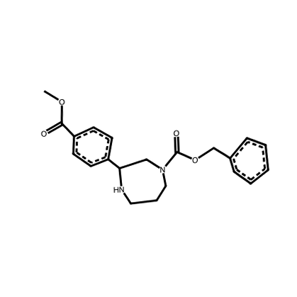 COC(=O)c1ccc(C2CN(C(=O)OCc3ccccc3)CCCN2)cc1